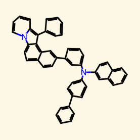 c1ccc(-c2ccc(N(c3cccc(-c4ccc5ccc6c(c(-c7ccccc7)c7ccccn76)c5c4)c3)c3ccc4ccccc4c3)cc2)cc1